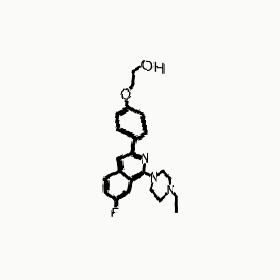 CCN1CCN(c2nc(-c3ccc(OCCO)cc3)cc3ccc(F)cc23)CC1